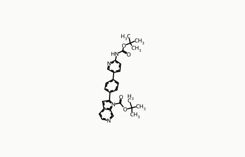 CC(C)(C)OC(=O)Nc1ccc(-c2ccc(-c3cc4ccncc4n3C(=O)OC(C)(C)C)cc2)cn1